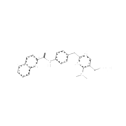 CN(C)c1nc(Cc2ccc(NC(=O)c3ccc4ccccc4n3)cc2)ncc1CC(=O)O